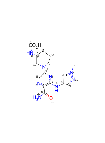 Cn1cc(Nc2nc(N3CCC[C@@H](NC(=O)O)C3)cnc2C(N)=O)cn1